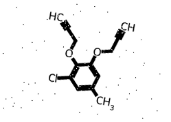 C#CCOc1cc(C)cc(Cl)c1OCC#C